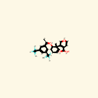 C[C@@H](OC1CCC=CC1(C)C1=C(C(=O)O)C=COC1)c1cc(C(F)(F)F)cc(C(F)(F)F)c1